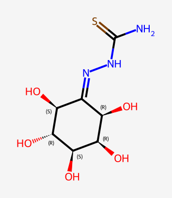 NC(=S)NN=C1[C@@H](O)[C@@H](O)[C@@H](O)[C@H](O)[C@H]1O